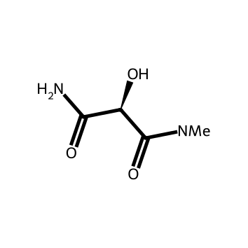 CNC(=O)[C@H](O)C(N)=O